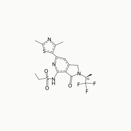 CCS(=O)(=O)Nc1nc(-c2sc(C)nc2C)cc2c1C(=O)N([C@@H](C)C(F)(F)F)C2